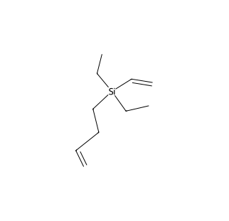 C=CCC[Si](C=C)(CC)CC